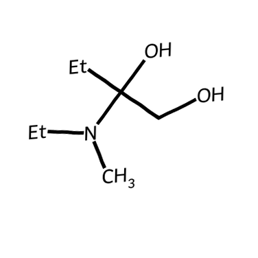 CCN(C)C(O)(CC)CO